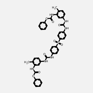 Cc1ccc(NC(=O)Nc2ccc(S(=O)(=O)c3ccc(NC(=O)Nc4ccc(C)c(NC(=O)Oc5ccccc5)c4)cc3)cc2)cc1NC(=O)Oc1ccccc1